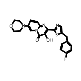 O=c1c(O)c(-c2ncc(Cc3ccc(F)cc3)s2)nc2ccc(N3CCOCC3)cn12